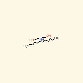 CCCCCCCCCCCC.OCCNCCO